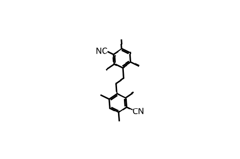 Cc1cc(C)c(CCc2c(C)cc(C)c(C#N)c2C)c(C)c1C#N